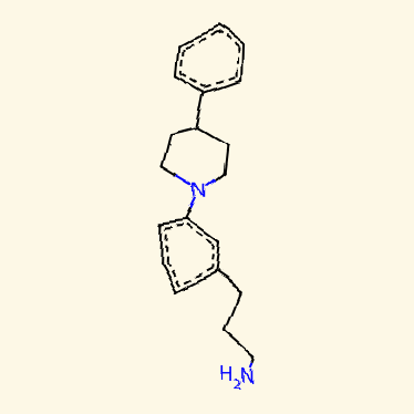 NCCCc1cccc(N2CCC(c3ccccc3)CC2)c1